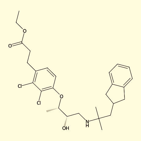 CCOC(=O)CCc1ccc(O[C@@H](C)[C@@H](O)CNC(C)(C)CC2Cc3ccccc3C2)c(Cl)c1Cl